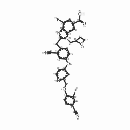 N#Cc1ccc(OCc2cc(Oc3ccc(Cc4nc5c(F)cc(C(=O)O)cc5n4CC4CCO4)c(C#N)c3)ccn2)c(F)c1